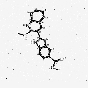 COC(=O)c1ccc2[nH]c(-c3cc4ccccc4nc3OC)cc2c1